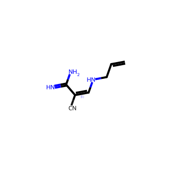 C=CCN/C=C(/C#N)C(=N)N